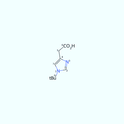 CC(C)(C)n1cnc(CC(=O)O)c1